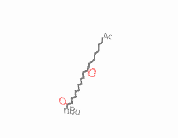 CCCCC(=O)CCCCCCCCC=CC(=O)CCCCCCCC(C)=O